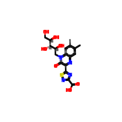 Cc1cc2nc(-c3nc(C(=O)O)ns3)c(=O)n(C[C@H](O)[C@H](O)[C@H](O)CO)c2cc1C